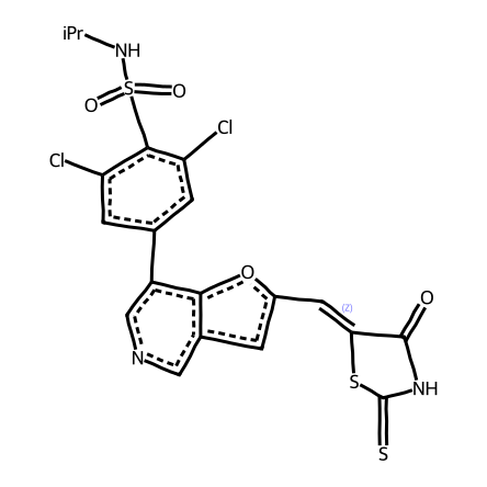 CC(C)NS(=O)(=O)c1c(Cl)cc(-c2cncc3cc(/C=C4\SC(=S)NC4=O)oc23)cc1Cl